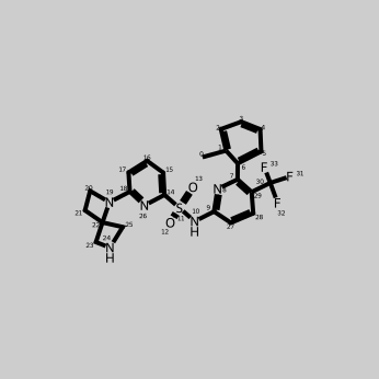 Cc1ccccc1-c1nc(NS(=O)(=O)c2cccc(N3CCC34CNC4)n2)ccc1C(F)(F)F